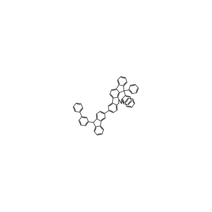 c1ccc(-c2cccc(C3c4ccccc4-c4cc(-c5ccc6c(c5)c5ccc7c(c5n6-c5ccccc5)C(c5ccccc5)(c5ccccc5)c5ccccc5-7)ccc43)c2)cc1